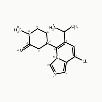 CC(N)c1cc(Cl)c2cncn2c1N1CCN(C)C(=O)C1